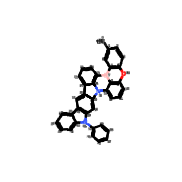 CC(C)(C)c1ccc2c(c1)B1c3c(cccc3-n3c4cc5c(cc4c4cccc1c43)c1ccccc1n5-c1ccccc1)O2